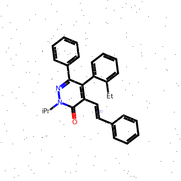 CCc1ccccc1-c1c(-c2ccccc2)nn(C(C)C)c(=O)c1/C=C/c1ccccc1